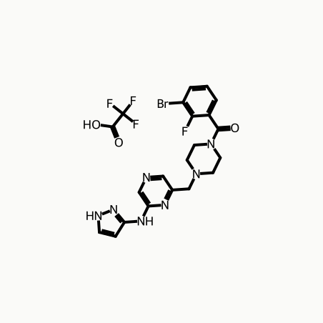 O=C(O)C(F)(F)F.O=C(c1cccc(Br)c1F)N1CCN(Cc2cncc(Nc3cc[nH]n3)n2)CC1